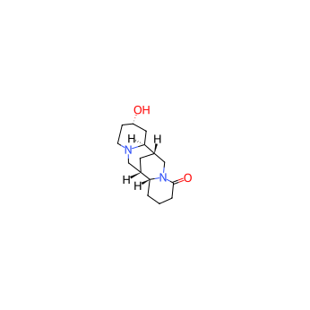 O=C1CCC[C@@H]2[C@H]3C[C@@H](CN12)[C@@H]1C[C@@H](O)CCN1C3